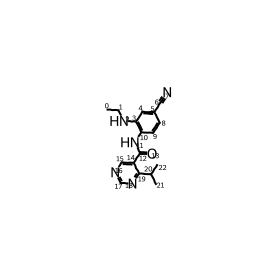 CCNc1cc(C#N)ccc1NC(=O)c1cncnc1C(C)C